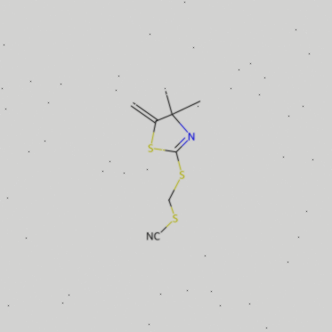 C=C1SC(SCSC#N)=NC1(C)C